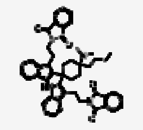 CCCCC1(N(C)C)CCC(c2[nH]c3ccccc3c2CCN2C(=O)c3ccccc3C2=O)(c2[nH]c3ccccc3c2CCN2C(=O)c3ccccc3C2=O)CC1